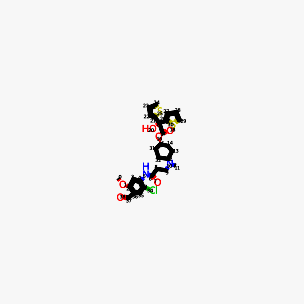 COc1cc(NC(=O)CCN(C)[C@H]2CC[C@H](OC(=O)C(O)(c3cccs3)c3cccs3)CC2)c(Cl)cc1C=O